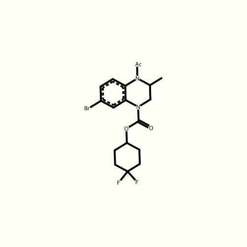 CC(=O)N1c2ccc(Br)cc2N(C(=O)OC2CCC(F)(F)CC2)CC1C